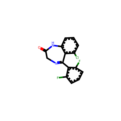 O=C1CN=C(c2c(F)cccc2F)c2c(Cl)cccc2N1